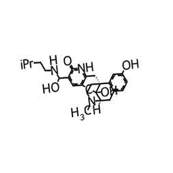 CC(C)CCNC(O)c1cc2c([nH]c1=O)C[C@]13CCN(C)[C@H](Cc4ccc(O)cc41)[C@]3(O)C2